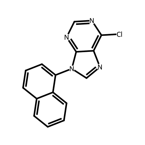 Clc1ncnc2c1ncn2-c1cccc2ccccc12